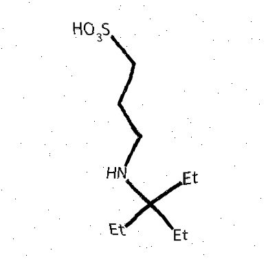 CCC(CC)(CC)NCCCS(=O)(=O)O